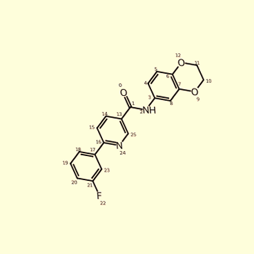 O=C(Nc1ccc2c(c1)OCCO2)c1ccc(-c2cccc(F)c2)nc1